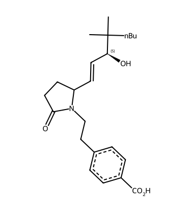 CCCCC(C)(C)[C@@H](O)C=CC1CCC(=O)N1CCc1ccc(C(=O)O)cc1